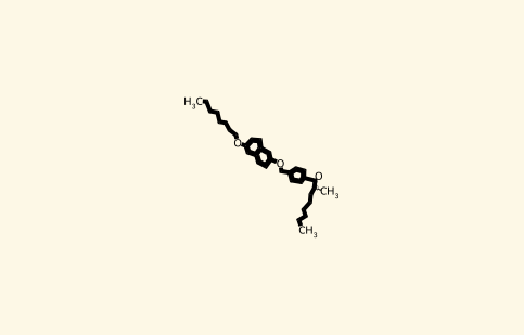 CCCCCCCCOc1ccc2cc(OCc3ccc(C(=O)[C@H](C)CCCCCC)cc3)ccc2c1